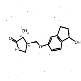 C[C@H]1C(=O)NC[C@@H]1COc1ccc2c(c1)CCC2O